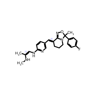 CN/C(C)=C\Nc1ccc(/C=C2\CCCN3C2=NOC3(C)c2ccc(F)cc2)cn1